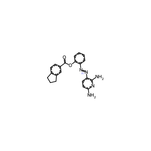 Nc1ccc(/N=N/c2ccccc2OC(=O)c2ccc3c(c2)CCC3)c(N)n1